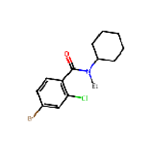 CCN(C(=O)c1ccc(Br)cc1Cl)C1CCCCC1